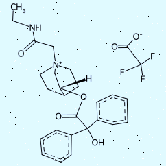 CCNC(=O)C[N+]12CCC(CC1)[C@@H](OC(=O)C(O)(c1ccccc1)c1ccccc1)C2.O=C([O-])C(F)(F)F